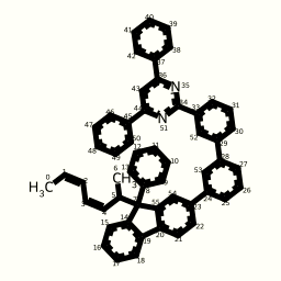 C/C=C\C=C/C(C)C1(c2ccccc2)c2ccccc2-c2ccc(-c3cccc(-c4cccc(-c5nc(-c6ccccc6)cc(-c6ccccc6)n5)c4)c3)cc21